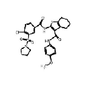 COc1ccc(NC(=O)c2c(NC(=O)c3ccc(Cl)c(S(=O)(=O)N4CCCC4)c3)sc3c2CCCC3)cc1